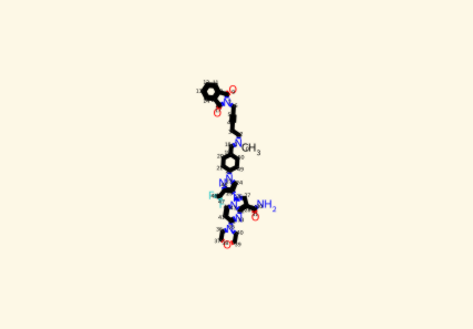 CN(CCC#CCN1C(=O)c2ccccc2C1=O)CC1CCC(n2cc(N3CC(C(N)=O)=C4N=C(N5CCOCC5)C=CN43)c(C(F)F)n2)CC1